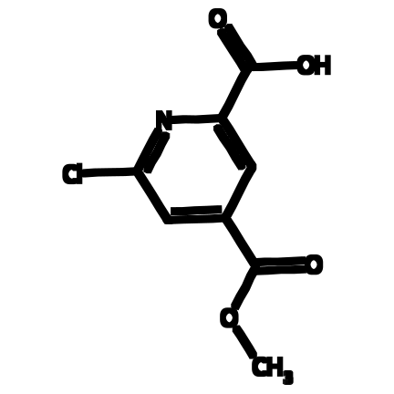 COC(=O)c1cc(Cl)nc(C(=O)O)c1